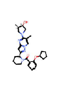 Cc1cn2nc([C@@H]3CCCCN3C(=O)c3ccccc3OC3CCCC3)cc2nc1N1C[C@@H](C)[C@@H](O)C1